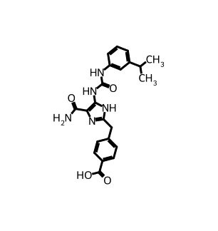 CC(C)c1cccc(NC(=O)Nc2[nH]c(Cc3ccc(C(=O)O)cc3)nc2C(N)=O)c1